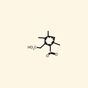 Cc1cc(C)c(I(=O)=O)c(CC(=O)O)c1C